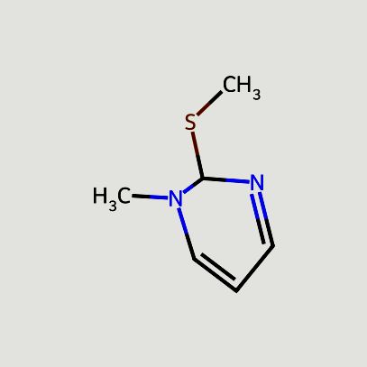 CSC1N=CC=CN1C